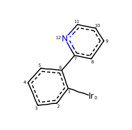 [Ir][c]1ccccc1-c1ccccn1